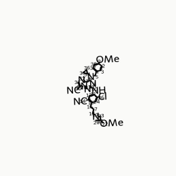 COc1ccc(CN(c2nc(Nc3cc(C#N)c(CCCN4CC(OC)C4)cc3Cl)nn3c(C#N)cnc23)C2CC2)cc1